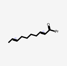 C/C=C/CCCC/C=C/C(=O)C(C)C